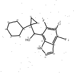 OC(c1c(F)c(Cl)c(F)c2cn[nH]c12)C1(C2CCCCC2)CC1